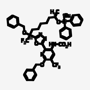 CC(CCCCC[C@@](OCc1ccccc1)(c1nnc(-c2nc(OCc3ccccc3)c(C(F)(F)F)cc2NC(=O)O)o1)C(F)(F)F)O[Si](c1ccccc1)(c1ccccc1)C(C)(C)C